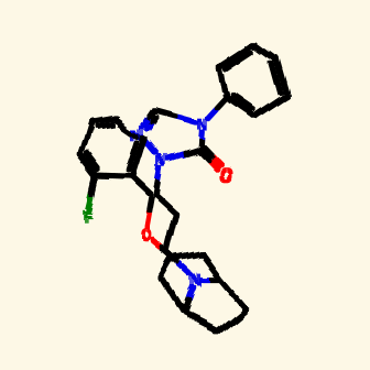 O=c1n(-c2ccccc2)cnn1CCCN1C2CCC1CC(OCc1ccccc1F)C2